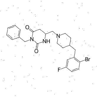 O=C1CC(CN2CCC(Cc3cc(F)ccc3Br)CC2)NC(=O)N1Cc1ccccc1